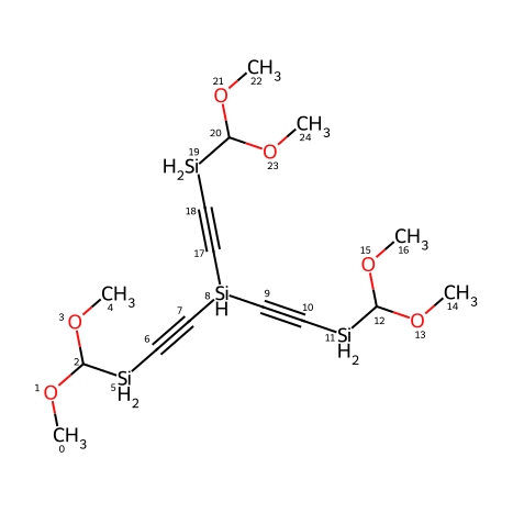 COC(OC)[SiH2]C#C[SiH](C#C[SiH2]C(OC)OC)C#C[SiH2]C(OC)OC